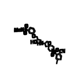 CNS(=O)(=O)c1cccc(OCC(O)CNC2COC3(CCN(S(=O)(=O)c4cc(C)ccc4C#N)CC3)C2)c1